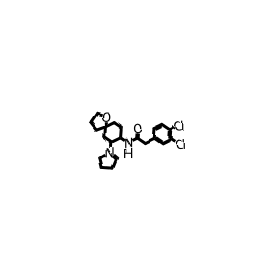 O=C(Cc1ccc(Cl)c(Cl)c1)NC1CCC2(CCCO2)CC1N1CCCC1